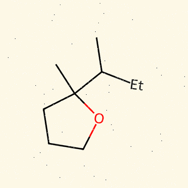 CCC(C)C1(C)CCCO1